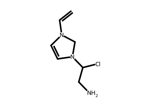 C=CN1C=CN(C(Cl)CN)C1